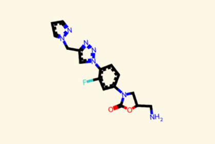 NCC1CN(c2ccc(-n3cc(Cn4cccn4)nn3)c(F)c2)C(=O)O1